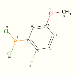 COc1ccc(F)c(P(Cl)Cl)c1